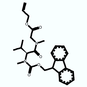 C=CCOC(=O)CN(C)C(=O)[C@H](C(C)C)N(C)C(=O)OCC1c2ccccc2-c2ccccc21